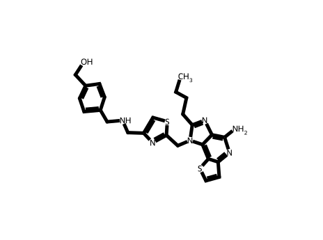 CCCCc1nc2c(N)nc3ccsc3c2n1Cc1nc(CNCc2ccc(CO)cc2)cs1